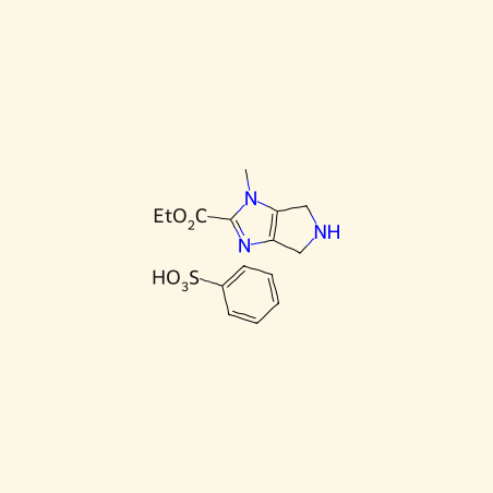 CCOC(=O)c1nc2c(n1C)CNC2.O=S(=O)(O)c1ccccc1